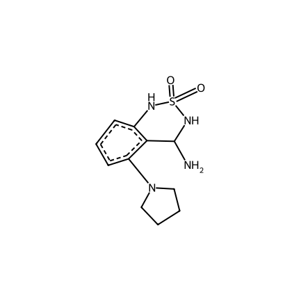 NC1NS(=O)(=O)Nc2cccc(N3CCCC3)c21